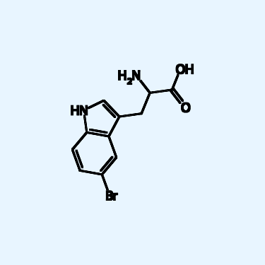 NC(Cc1c[nH]c2ccc(Br)cc12)C(=O)O